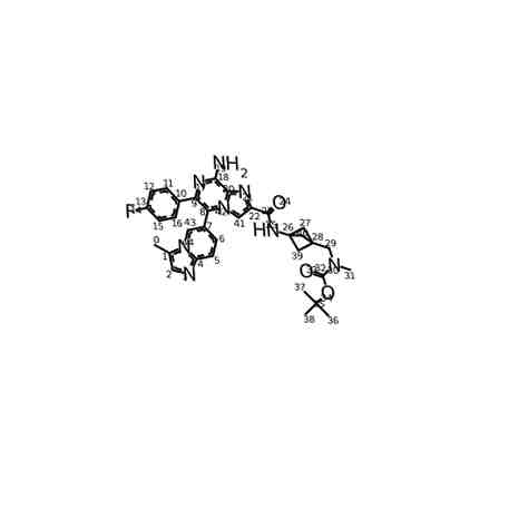 Cc1cnc2ccc(-c3c(-c4ccc(F)cc4)nc(N)c4nc(C(=O)NC56CC(CN(C)C(=O)OC(C)(C)C)(C5)C6)cn34)cn12